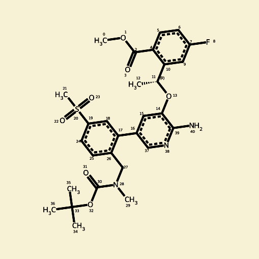 COC(=O)c1ccc(F)cc1[C@@H](C)Oc1cc(-c2cc(S(C)(=O)=O)ccc2CN(C)C(=O)OC(C)(C)C)cnc1N